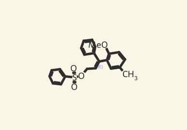 COc1ccc(C)cc1/C(=C/COS(=O)(=O)c1ccccc1)c1ccccc1